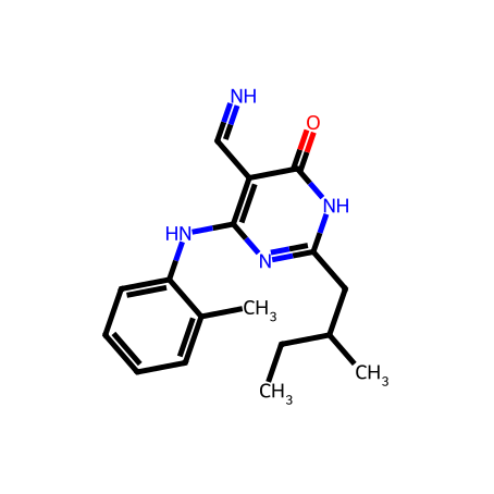 CCC(C)Cc1nc(Nc2ccccc2C)c(C=N)c(=O)[nH]1